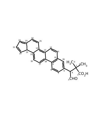 CC(C)(C(=O)O)C(C=O)c1ccc2c(ccc3c4c(ccc32)C2C=CC=C2C=C4)c1